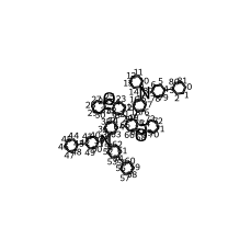 c1ccc(-c2ccc(N(c3ccccc3)c3ccc(-c4c(-c5ccc6oc7ccccc7c6c5-c5ccc(N(c6ccc(-c7ccccc7)cc6)c6ccc(-c7ccccc7)cc6)cc5)ccc5oc6ccccc6c45)cc3)cc2)cc1